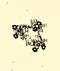 CC(C)C[C@H](NC(=O)[C@H](Cc1ccccc1)NC(=O)[C@H](Cc1ccccc1)NC(=O)CNCCNc1ccc(NCCNCC(=O)N[C@@H](Cc2ccccc2)C(=O)N[C@@H](Cc2ccccc2)C(=O)N[C@@H](CC(C)C)C(N)=O)c2c1C(=O)c1c(O)ccc(O)c1C2=O)C(N)=O